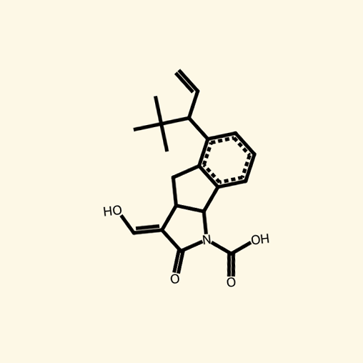 C=CC(c1cccc2c1CC1C(=CO)C(=O)N(C(=O)O)C21)C(C)(C)C